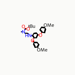 COc1ccc(Oc2ccc(NCCN(C)C(=O)OC(C)(C)C)c(Oc3ccc(OC)cc3)c2)cc1